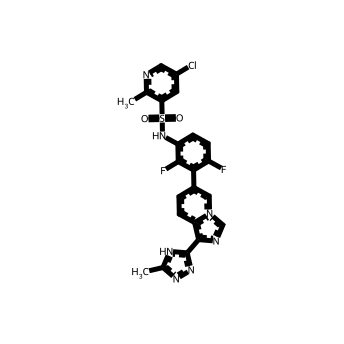 Cc1nnc(-c2ncn3cc(-c4c(F)ccc(NS(=O)(=O)c5cc(Cl)cnc5C)c4F)ccc23)[nH]1